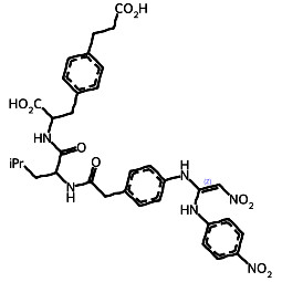 CC(C)CC(NC(=O)Cc1ccc(N/C(=C/[N+](=O)[O-])Nc2ccc([N+](=O)[O-])cc2)cc1)C(=O)NC(Cc1ccc(CCC(=O)O)cc1)C(=O)O